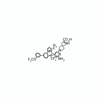 Cc1ccn(-c2cc(-c3cccc(OC(F)(F)F)c3)ccc2[C@@H](Oc2cc(N3CCC4(CC3)CN[C@H](C(=O)O)C4)nc(N)n2)C(F)(F)F)n1